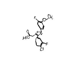 CCOc1ccc(-c2nc(-c3ccc(Cl)c(F)c3)c(CC(=O)O)s2)cc1F